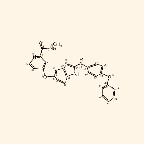 CNC(=O)c1cc(Oc2ccc3[nH]c(Nc4ccc(Oc5ccccc5)cc4)nc3c2)ccn1